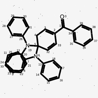 O=C(C1=CCC(N(c2ccccc2)c2ccccc2)(N(c2ccccc2)c2ccccc2)C=C1)c1ccccc1